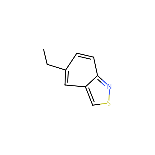 CCc1ccc2nscc2c1